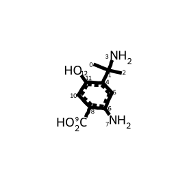 CC(C)(N)c1cc(N)c(C(=O)O)cc1O